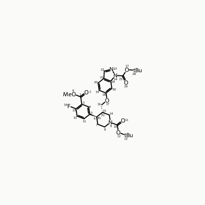 COC(=O)c1cc([C@@H]2CCN(C(=O)OC(C)(C)C)C[C@H]2COc2ccc3cnn(C(=O)OC(C)(C)C)c3c2)ccc1F